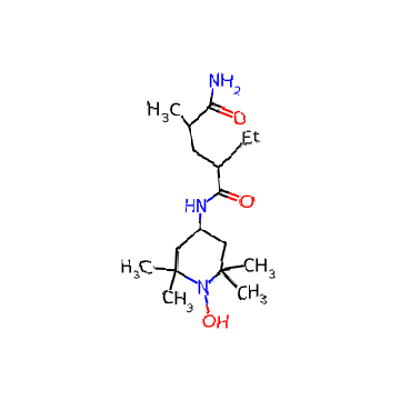 CCC(CC(C)C(N)=O)C(=O)NC1CC(C)(C)N(O)C(C)(C)C1